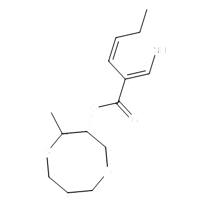 CC/C=C\C(=C/N)C(=O)O[C@@H]1COCCCOC1C